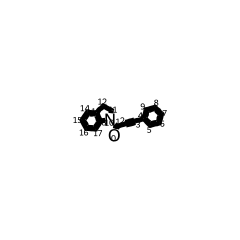 O=C(C#Cc1ccccc1)N1CCc2ccccc21